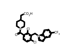 O=C(O)CC1CCN(C(=O)c2ccc(Cl)c(Cn3ccc4cc(C(F)(F)F)ccc43)c2Cl)CC1